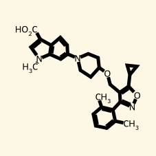 Cc1cccc(C)c1-c1noc(C2CC2)c1COC1CCN(c2ccc3c(C(=O)O)cn(C)c3c2)CC1